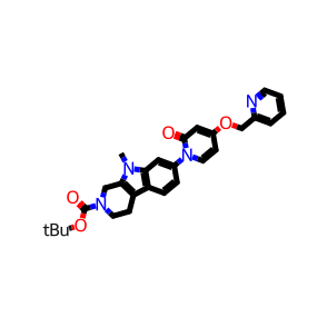 Cn1c2c(c3ccc(-n4ccc(OCc5ccccn5)cc4=O)cc31)CCN(C(=O)OC(C)(C)C)C2